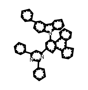 c1ccc(-c2ccc3c(c2)c2ccccc2n3-c2cc(-c3cc(-c4ccccc4)nc(-c4ccccc4)n3)cc3c4ccccc4c4ccccc4c23)cc1